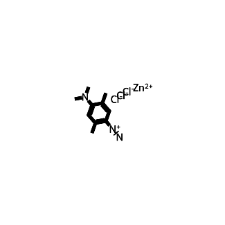 Cc1cc(N(C)C)c(C)cc1[N+]#N.[Cl-].[Cl-].[Cl-].[Zn+2]